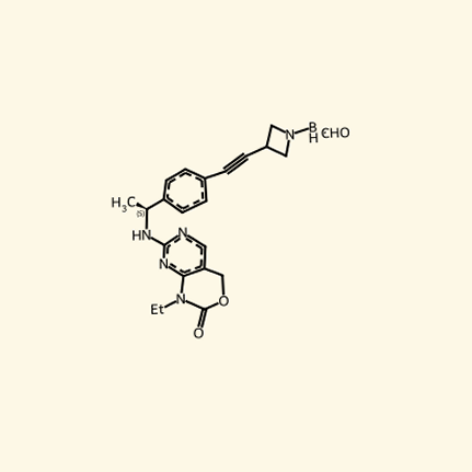 CCN1C(=O)OCc2cnc(N[C@@H](C)c3ccc(C#CC4CN(BC=O)C4)cc3)nc21